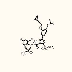 C[C@H](N)c1oc(-c2ccc(OC(F)F)c(OCC3CC3)c2)nc1C(=O)N[C@@H](CS(C)(=O)=O)c1ncc(F)cc1F